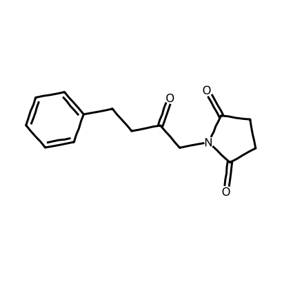 O=C(CCc1ccccc1)CN1C(=O)CCC1=O